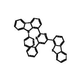 c1ccc(-c2cc(-c3cccc4c3sc3ccccc34)nc(-c3cccc4c5ccccc5n(-c5ccccc5)c34)n2)cc1